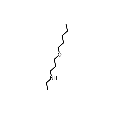 CCCCCOCCCNCC